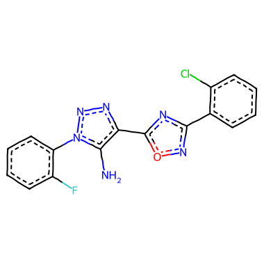 Nc1c(-c2nc(-c3ccccc3Cl)no2)nnn1-c1ccccc1F